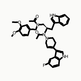 COc1ccc(CN(C[C@@H](Cc2c[nH]c3ccccc23)N(C(C)=O)N2CC=C(c3c[nH]c4ccc(F)cc34)CC2)C(C)=O)cc1OC